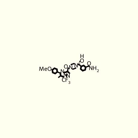 COc1ccc(-c2nc3c(C(=O)N4CCN([C@H](CO)c5cccc(C(N)=O)c5)CC4)cnn3c(C(F)(F)F)c2C)cc1